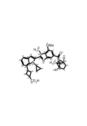 COc1cc(C(=O)N2C[C@H]3CC[C@@H]2[C@@H]3C)cc2nc(-c3cc4cccc(C5CC(C(=O)O)C5)c4n3C3CC3)n(C)c12